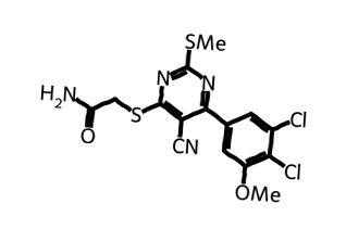 COc1cc(-c2nc(SC)nc(SCC(N)=O)c2C#N)cc(Cl)c1Cl